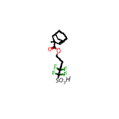 CC1(C(=O)OCCC(F)(F)C(F)(F)S(=O)(=O)O)C=C2CCCC(C2)C1